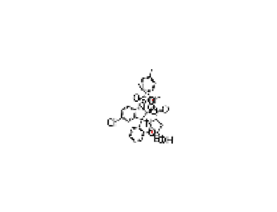 CCOc1ccccc1C1(N2C[C@H](O)C[C@H]2C(=O)ON(C)C)C(=O)N(S(=O)(=O)c2ccc(C)cn2)c2ccc(Cl)cc21